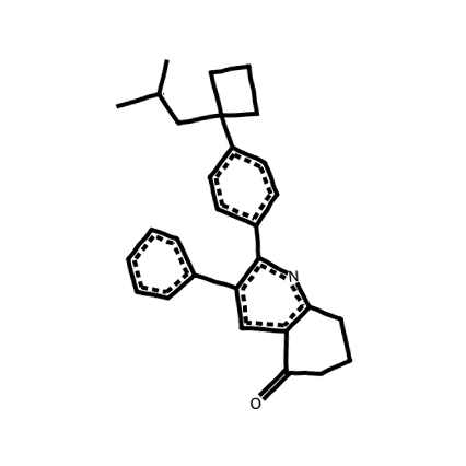 C[C](C)CC1(c2ccc(-c3nc4c(cc3-c3ccccc3)C(=O)CCC4)cc2)CCC1